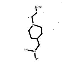 CCCCCCCCCCCCN1CCC(CN(CCC)CCC)CC1